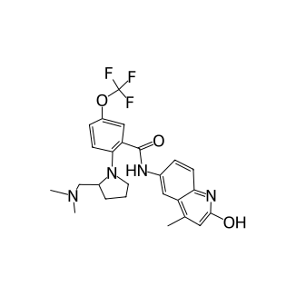 Cc1cc(O)nc2ccc(NC(=O)c3cc(OC(F)(F)F)ccc3N3CCCC3CN(C)C)cc12